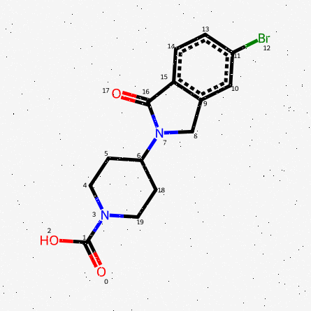 O=C(O)N1CCC(N2Cc3cc(Br)ccc3C2=O)CC1